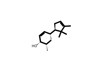 CC1=CC[C@H]([C@H]2C=C[C@@H](O)[C@@H](C)C2)C1(C)C